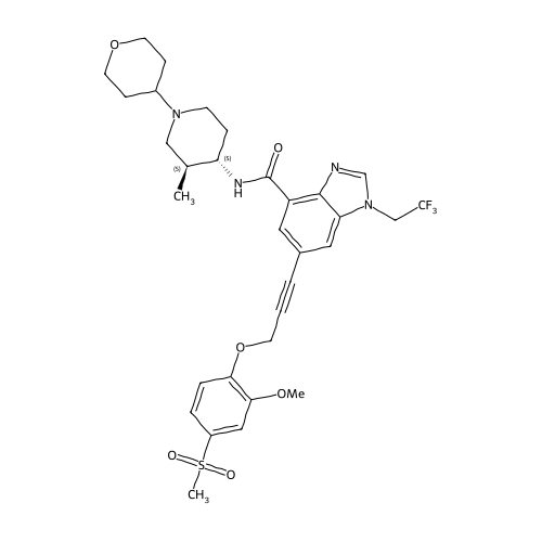 COc1cc(S(C)(=O)=O)ccc1OCC#Cc1cc(C(=O)N[C@H]2CCN(C3CCOCC3)C[C@@H]2C)c2ncn(CC(F)(F)F)c2c1